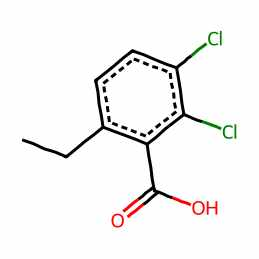 CCc1ccc(Cl)c(Cl)c1C(=O)O